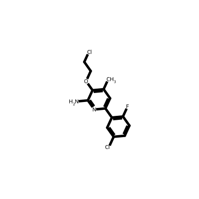 Cc1cc(-c2cc(Cl)ccc2F)nc(N)c1OCCCl